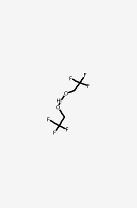 FC(F)(F)CO[IH]OCC(F)(F)F